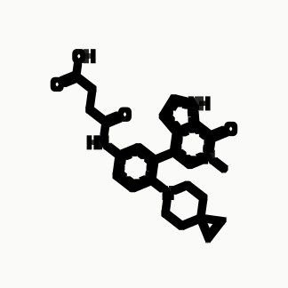 Cn1cc(-c2cc(NC(=O)CCC(=O)O)ccc2N2CCC3(CC2)CC3)c2cc[nH]c2c1=O